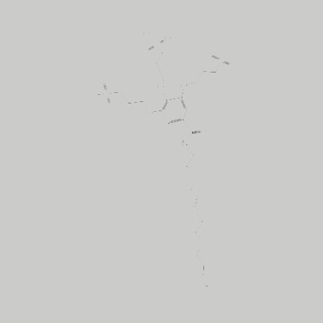 O=C(NCCOCCOCCOCCOI)c1cc(OCCCS(=O)(=O)O)c(OCCCS(=O)(=O)O)c(OCCCS(=O)(=O)O)c1